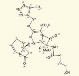 CO[C@@]1(NC(=O)CSCC#N)C(=O)N2C(C(=O)O)=C(CSc3nnnn3C)CS[C@@H]21.O=C1C[C@H]2SCC=CN12